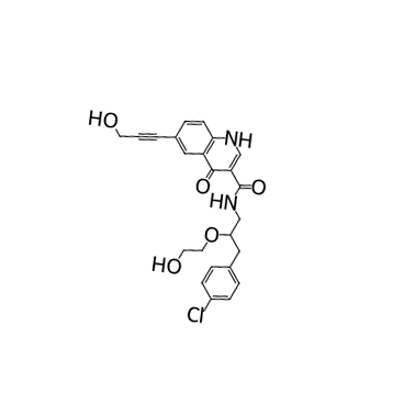 O=C(NCC(Cc1ccc(Cl)cc1)OCCO)c1c[nH]c2ccc(C#CCO)cc2c1=O